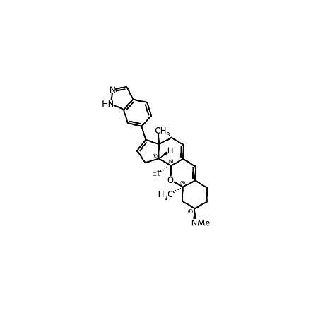 CC[C@@]12O[C@]3(C)C[C@H](NC)CCC3=CC1=CCC1(C)C(c3ccc4cn[nH]c4c3)=CC[C@H]12